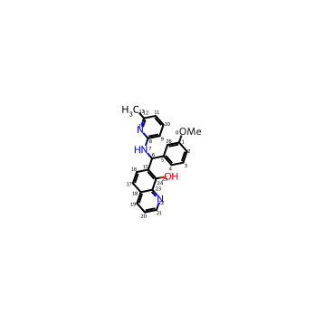 COc1cccc(C(Nc2cccc(C)n2)c2ccc3cccnc3c2O)c1